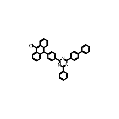 Clc1c2ccccc2c(-c2ccc(-c3nc(-c4ccccc4)nc(-c4ccc(-c5ccccc5)cc4)n3)cc2)c2ccccc12